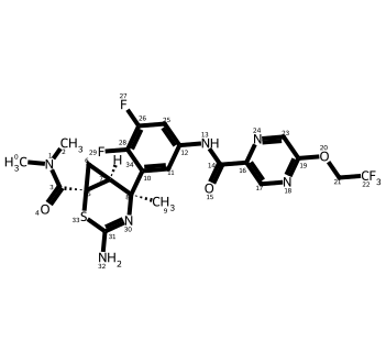 CN(C)C(=O)[C@]12C[C@H]1[C@@](C)(c1cc(NC(=O)c3cnc(OCC(F)(F)F)cn3)cc(F)c1F)N=C(N)S2